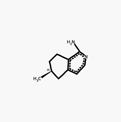 C[C@H]1CCc2c(ccnc2N)C1